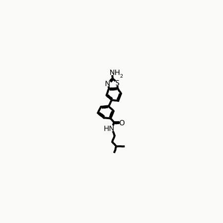 CC(C)CCNC(=O)c1cccc(-c2ccc3sc(N)nc3c2)c1